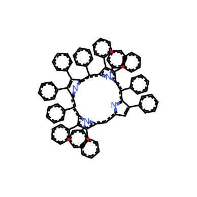 C1=C(c2ccccc2)c2nc1cc1c(-c3ccccc3)c(-c3ccccc3)c(c(-c3ccccc3)c3nc(c(-c4ccccc4)c4c(-c5ccccc5)c(-c5ccccc5)c(c2-c2ccccc2)n4-c2ccccc2)C(c2ccccc2)=C3c2ccccc2)n1-c1ccccc1